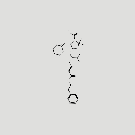 CC(C)[C@@H](CC=CC(=O)NCCc1ccccc1)C[C@@H]1OC(C)(C)N(C(=O)O)[C@H]1CC1CCCCC1